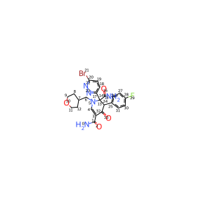 NC(=O)C1=CN(CC2CCOCC2)C(C(N)=O)(c2ccc(Br)nn2)C(c2ccc(F)cc2)C1=O